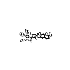 C=CC(=O)Nc1cc(Nc2cc(OC3Cc4cc5ccc(=O)oc5cc4OC3(C)C)ncn2)c(OC)cc1N1CCOCC1